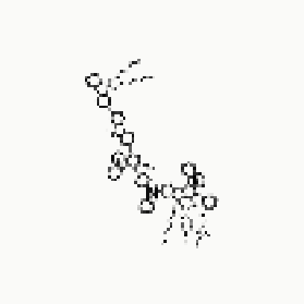 CCCCCCCC1(CCCCCCC)c2ccccc2-c2ccc(-c3ccc4c(c3)C(C)(C)c3cc(-c5cc6c(c7c5oc5ccccc57)-c5ccc(N(c7ccc8c(c7)C(CCCCCCC)(CCCCCCC)c7c9c(c%10oc%11ccccc%11c%10c7-8)-c7ccccc7C9(CCCCCCC)CCCCCCC)c7ccccc7C)cc5C6(C)C)ccc3-4)cc21